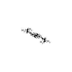 C=C(C)C(=O)OCCOC(=O)O[C@H]1CO[C@H]2[C@@H]1OC[C@H]2OC(=O)OCCOC(=O)C(=C)C